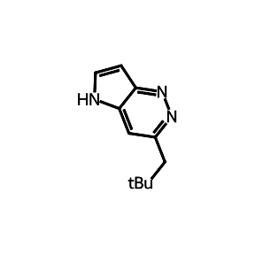 CC(C)(C)Cc1cc2[nH]ccc2nn1